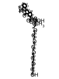 C[C@@](OCCOCCOCCOCCOCCOCCOCCOCCOCCO)(C(=O)O)C1CN(c2ccc3cc(-c4ccccc4C(F)(F)F)[nH]c(=O)c3c2)C(=O)O1